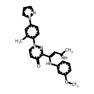 CC(=N)/C=C(\Nc1cccc(OC(F)(F)F)c1)c1nn(-c2ccc(-n3cccn3)cc2C)ccc1=O